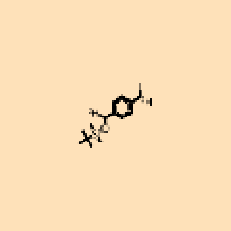 [2H]C(I)c1ccc(C([2H])O[Si](C)(C)C(C)(C)C)cc1